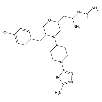 NN/N=C(\N)CC1CN(C2CCN(c3nnc(N)[nH]3)CC2)C(Cc2ccc(Cl)cc2)CO1